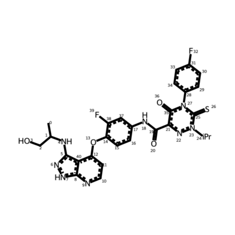 CC(CO)Nc1n[nH]c2nccc(Oc3ccc(NC(=O)c4nn(C(C)C)c(=S)n(-c5ccc(F)cc5)c4=O)cc3F)c12